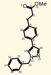 COC(=O)CCc1ccc(-c2cnn(Cc3ccccc3)c2)cc1